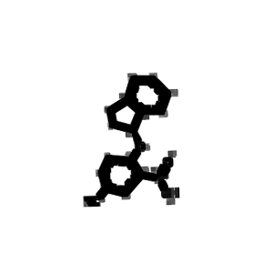 N#Cc1ccc(O[C@H]2CCc3ccccc32)c([N+](=O)O)c1